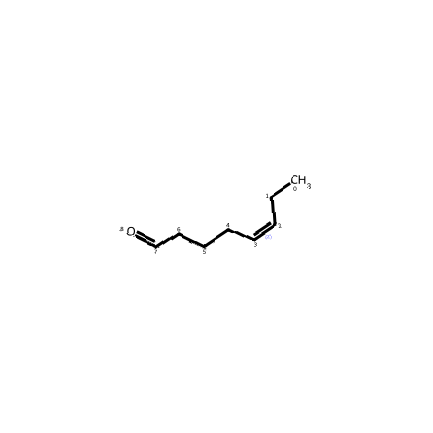 CC/C=C\CCC[C]=O